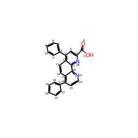 O=C(O)c1cc(-c2ccccc2)c2ccc3c(-c4ccccc4)ccnc3c2n1